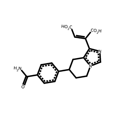 NC(=O)c1ccc(C2CCn3cnc(C(=CC(=O)O)C(=O)O)c3C2)cc1